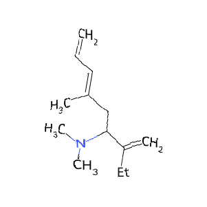 C=C/C=C(\C)CC(C(=C)CC)N(C)C